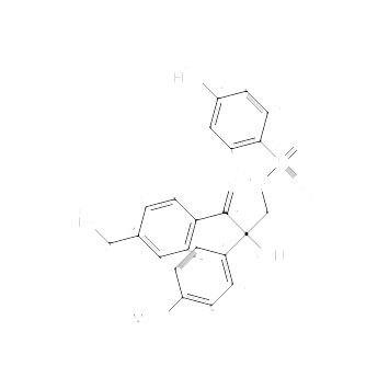 COc1ccc(C(O)(COS(=O)(=O)c2ccc(C)cc2)C(=O)c2ccc(CO)cc2)cc1